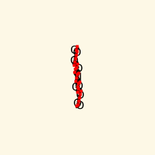 C=CC(=O)OCCCCOc1ccc(C(=O)Cc2ccc(/N=C/c3ccc(OC(=O)c4ccc(OCCCCOC(=O)C=C)cc4)cc3)cc2C)cc1